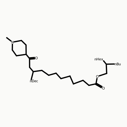 CCCCCCCCCCC(CCCCCCCCC(=O)OCC(CCCC)CCCCCC)CC(=O)C1CCN(C)CC1